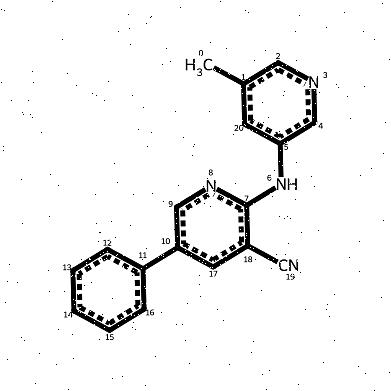 Cc1cncc(Nc2ncc(-c3ccccc3)cc2C#N)c1